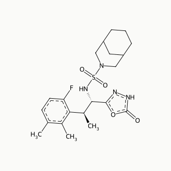 Cc1ccc(F)c([C@H](C)[C@H](NS(=O)(=O)N2CC3CCCC(C3)C2)c2n[nH]c(=O)o2)c1C